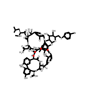 CN[C@@H](CC(C)C)C(=O)N[C@H]1C(=O)N[C@@H](CC(N)=O)C(=O)N[C@H]2C(=O)N[C@H]3C(=O)N[C@H](C(=O)N[C@@H](C(=O)O)c4cc(O)cc(O)c4-c4cc3ccc4O)[C@H](O)c3ccc(c(Cl)c3)Oc3cc2cc(c3OC2OC(CSc3ccc(Br)cc3)C(O)C(O)C2OC2CC(C)(N)C(O)C(C)O2)Oc2ccc(cc2Cl)[C@H]1O